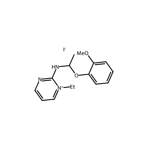 CC[n+]1cccnc1NC(C)Oc1ccccc1OC.[I-]